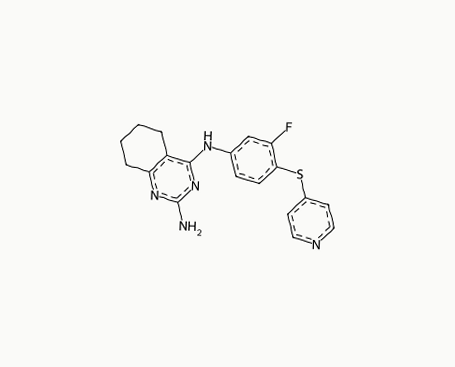 Nc1nc2c(c(Nc3ccc(Sc4ccncc4)c(F)c3)n1)CCCC2